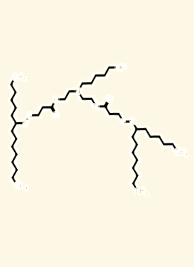 CCCCCCCCC(CCCCCC)SSCCC(=O)OCCN(CCCCCO)CCOC(=O)CCSSC(CCCCCC)CCCCCCCC